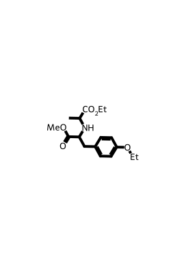 CCOC(=O)C(C)NC(Cc1ccc(OCC)cc1)C(=O)OC